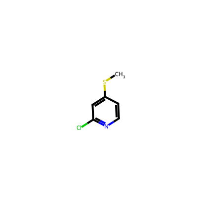 CSc1ccnc(Cl)c1